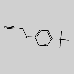 CC(C)(C)c1ccc(SCC#N)cc1